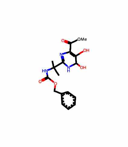 COC(=O)C1=C(O)C(O)NC(C(C)(C)NC(=O)OCc2ccccc2)=N1